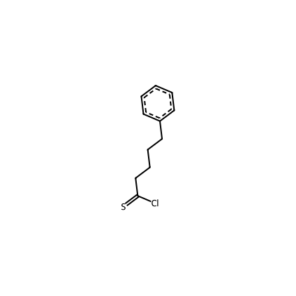 S=C(Cl)CCCCc1ccccc1